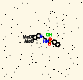 COc1cc2c(cc1OC)CN(CCCNS(=O)(=O)c1ccc3ccccc3c1)CC2.Cl